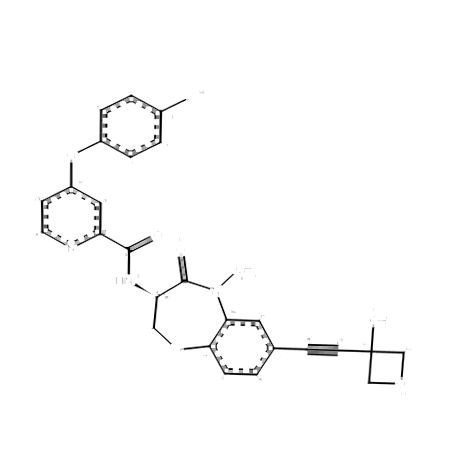 CN1C(=O)[C@H](NC(=O)c2cc(Oc3ccc(F)cc3)ccn2)COc2ccc(C#CC3(O)COC3)cc21